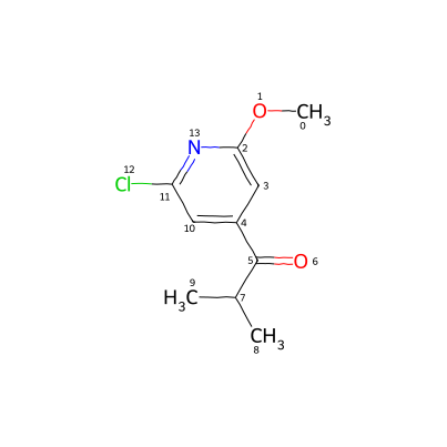 COc1cc(C(=O)C(C)C)cc(Cl)n1